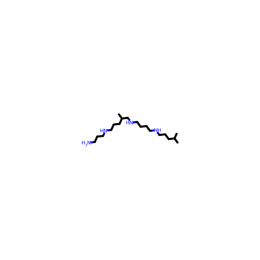 CC(C)CCCNCCCCNCC(C)CCCNCCCN